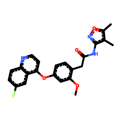 COc1cc(Oc2ccnc3ccc(F)cc23)ccc1CC(=O)Nc1noc(C)c1C